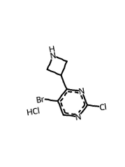 Cl.Clc1ncc(Br)c(C2CNC2)n1